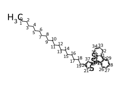 CCCCCCCCCCCCCCCCCCCCc1csc([Si]2=c3ccccc3=C3CC=CC=[Si]32)c1